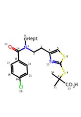 CCCCCCCN(CCc1csc(SC(C)(C)C(=O)O)n1)C(=O)c1ccc(Cl)cc1